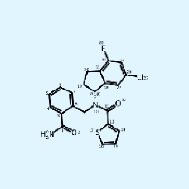 NC(=O)c1ccccc1CN(C(=O)c1cccs1)[C@@H]1CCc2c(F)cc(Cl)cc21